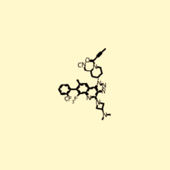 CC#CC(=O)N1CC[C@H](n2nnc3c(N4CC(N(C)C)C4)nc4c(F)c(-c5ccccc5C(F)(F)F)c(C)cc4c32)C[C@H]1CC#N